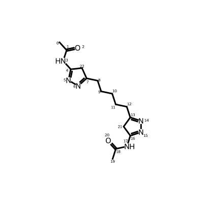 CC(=O)NC1=NN=C(CCCCCC2=NN=C(NC(C)=O)C2)C1